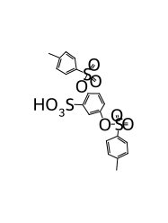 Cc1ccc(S(=O)(=O)Oc2ccc(OS(=O)(=O)c3ccc(C)cc3)c(S(=O)(=O)O)c2)cc1